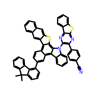 CC1(C)c2ccccc2-c2c(-c3ccc4c(c3)c3c5ccccc5n(-c5nc6c(nc5-c5ccc(C#N)cc5)sc5ccccc56)c3c3sc5cc6ccccc6cc5c43)cccc21